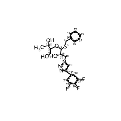 C[C@@H](O)C(CO)OC(SCc1ccccc1)[C@@H](O)Cn1cc(-c2cc(F)c(F)c(F)c2)nn1